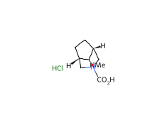 CNC1[C@@H]2CC[C@H]1CN(C(=O)O)C2.Cl